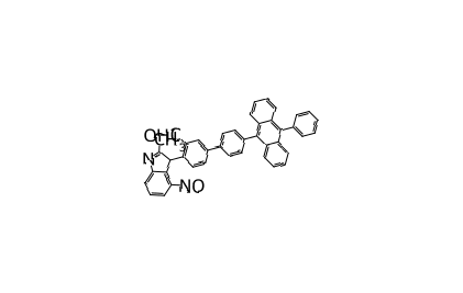 CC1=Nc2cccc(N=O)c2C1c1ccc(-c2ccc(-c3c4ccccc4c(-c4ccccc4)c4ccccc34)cc2)cc1C=O